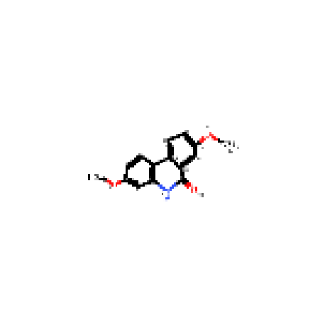 COc1ccc2c(c1)[nH]c(=O)c1cc(OC)ccc12